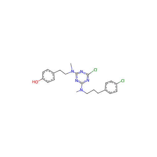 CN(CCCc1ccc(Cl)cc1)c1nc(Cl)nc(N(C)CCc2ccc(O)cc2)n1